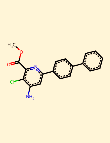 COC(=O)c1nc(-c2ccc(-c3ccccc3)cc2)cc(N)c1Cl